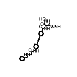 C[C@@H](N=[N+]=N)[C@H](NC(=O)c1ccc(C#Cc2ccc(NC(=O)CNCc3ccccc3)cc2)cc1)C(=O)NO